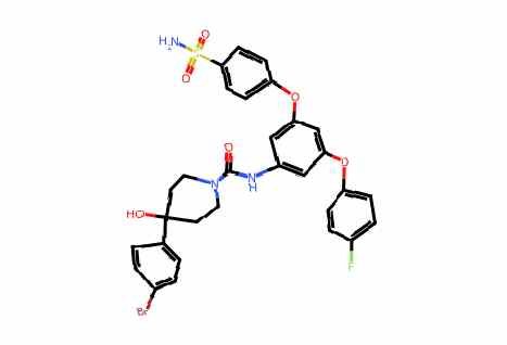 NS(=O)(=O)c1ccc(Oc2cc(NC(=O)N3CCC(O)(c4ccc(Br)cc4)CC3)cc(Oc3ccc(F)cc3)c2)cc1